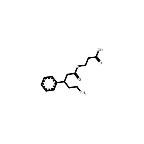 CCCC(CC(=O)OCCC(=O)O)c1ccccc1